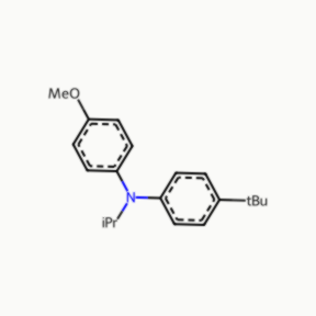 COc1ccc(N(c2ccc(C(C)(C)C)cc2)C(C)C)cc1